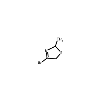 CC1N=C(Br)CS1